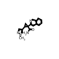 Cn1cc(C2CC2(C(N)=O)c2cc3ccccc3cn2)cn1